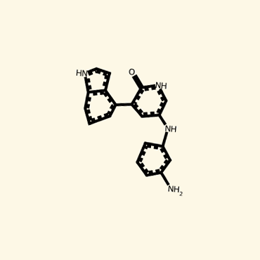 Nc1cccc(Nc2c[nH]c(=O)c(-c3cccc4[nH]ccc34)c2)c1